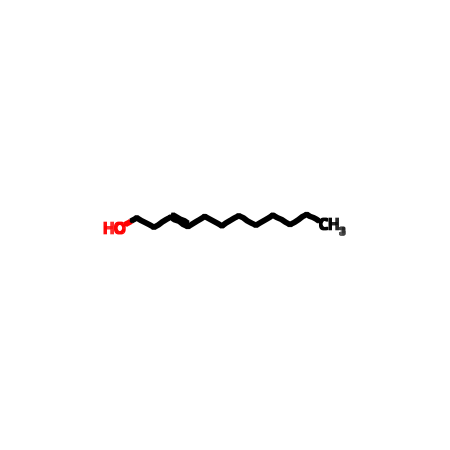 CCCCCCCC/C=C/CCO